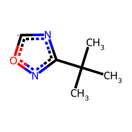 CC(C)(C)c1n[c]on1